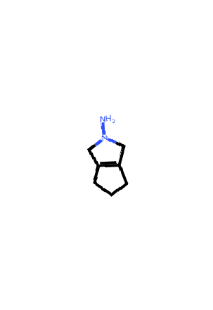 NN1CC2=C(CCC2)C1